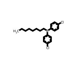 CCCCCCCCB(c1ccc(Cl)cc1)c1ccc(Cl)cc1